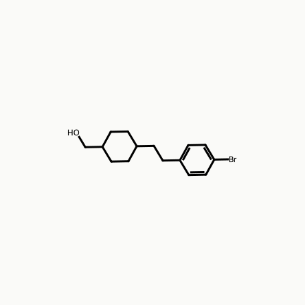 OCC1CCC(CCc2ccc(Br)cc2)CC1